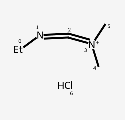 CCN=C=[N+](C)C.Cl